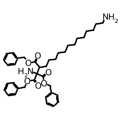 NCCCCCCCCCCCCCC(C(=O)OCc1ccccc1)C(N)(C(=O)OCc1ccccc1)C(=O)OCc1ccccc1